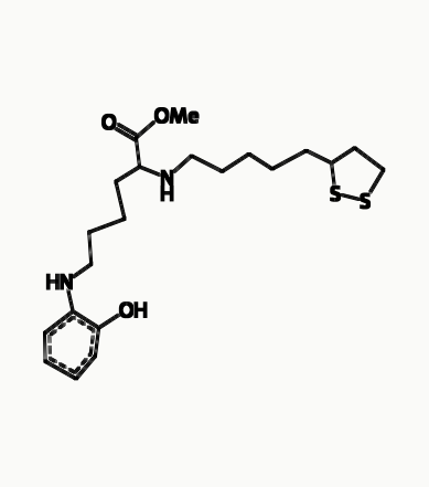 COC(=O)C(CCCCNc1ccccc1O)NCCCCCC1CCSS1